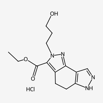 CCOC(=O)c1c2c(nn1CCCO)-c1cn[nH]c1CC2.Cl